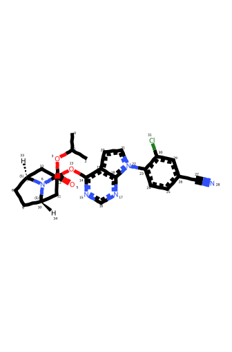 CC(C)OC(=O)N1[C@H]2CC[C@H]1CC(Oc1ncnc3c1ccn3-c1ccc(C#N)cc1Cl)C2